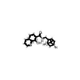 CC1(C)[C@H]2CCC(CNC(=O)c3ccc4cccnc4c3O)[C@@H]1C2